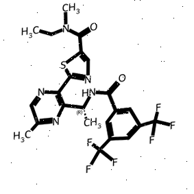 CCN(C)C(=O)c1cnc(-c2ncc(C)nc2[C@@H](C)NC(=O)c2cc(C(F)(F)F)cc(C(F)(F)F)c2)s1